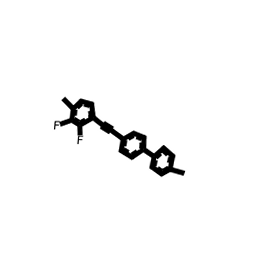 Cc1ccc(-c2ccc(C#Cc3ccc(C)c(F)c3F)cc2)cc1